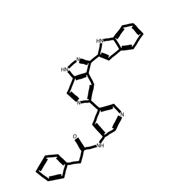 O=C(Cc1ccccc1)Nc1cncc(-c2cc3c(-c4cc5ccccc5[nH]4)n[nH]c3cn2)c1